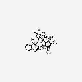 O=C(Nc1ccccc1O)C1C2CC(F)(F)CN2C2(C(=O)Nc3c(Cl)cc(Cl)cc32)C1C(=O)O